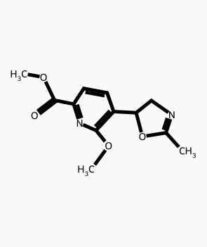 COC(=O)c1ccc(C2CN=C(C)O2)c(OC)n1